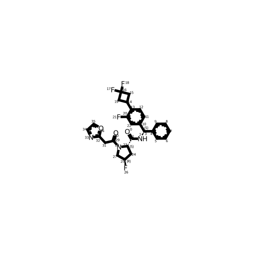 O=C(N[C@@H](c1ccccc1)c1ccc(C2CC(F)(F)C2)c(F)c1)[C@@H]1C[C@@H](F)CN1C(=O)Cc1ncco1